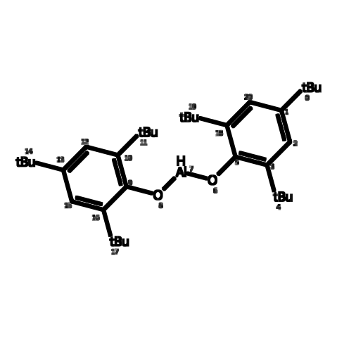 CC(C)(C)c1cc(C(C)(C)C)c([O][AlH][O]c2c(C(C)(C)C)cc(C(C)(C)C)cc2C(C)(C)C)c(C(C)(C)C)c1